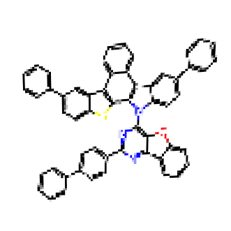 c1ccc(-c2ccc(-c3nc(-n4c5ccc(-c6ccccc6)cc5c5c6ccccc6c6c7cc(-c8ccccc8)ccc7sc6c54)c4oc5ccccc5c4n3)cc2)cc1